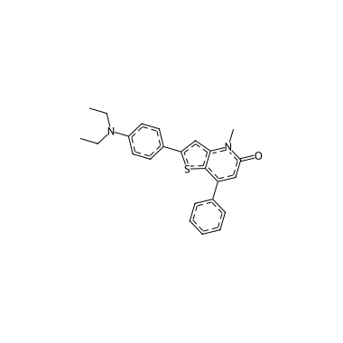 CCN(CC)c1ccc(-c2cc3c(s2)c(-c2ccccc2)cc(=O)n3C)cc1